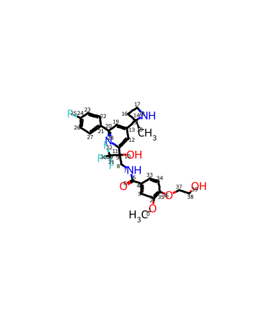 COc1cc(C(=O)NCC(O)(c2cc([C@]3(C)CCN3)cc(-c3ccc(F)cc3)n2)C(F)(F)F)ccc1OCCO